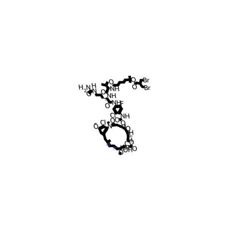 COc1cc2cc(c1Cl)N(C)C(=O)C[C@H](OC(=O)Nc1cc(F)c(NC(=O)[C@H](CCCNC(N)=O)NC(=O)[C@@H](NC(=O)CCCCC(C)(C)OC(=O)C(CBr)CBr)C(C)C)cc1Cl)[C@]1(C)O[C@H]1[C@H](C)[C@@H]1C[C@@](O)(NC(=O)O1)[C@H](OC)/C=C/C=C(\C)C2